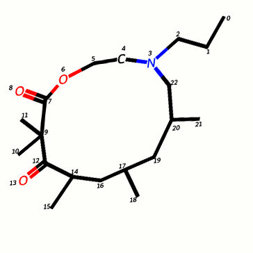 CCCN1CCOC(=O)C(C)(C)C(=O)C(C)CC(C)CC(C)C1